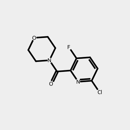 O=C(c1nc(Cl)ccc1F)N1CCOCC1